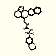 O=C(NC/C(F)=C1\CCCc2cnn(-c3ccc4ccccc4c3)c21)NS(=O)(=O)c1ccc2c(c1)OCCO2